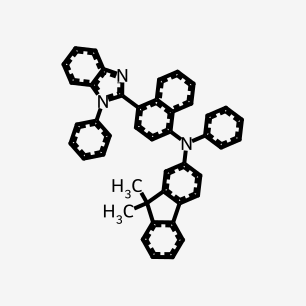 CC1(C)c2ccccc2-c2ccc(N(c3ccccc3)c3ccc(-c4nc5ccccc5n4-c4ccccc4)c4ccccc34)cc21